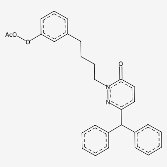 CC(=O)OOc1cccc(CCCCn2nc(C(c3ccccc3)c3ccccc3)ccc2=O)c1